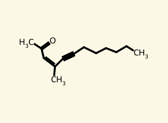 CCCCCCC#C/C(C)=C\C(C)=O